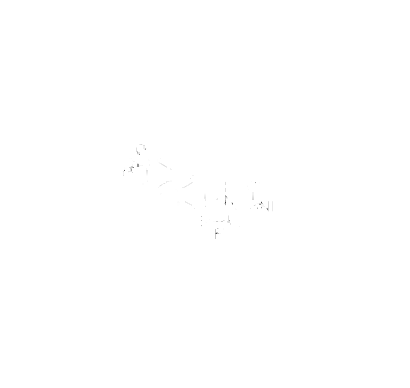 CCC[C@H](N[C@@H](c1ccc(-c2ccc(S(C)(=O)=O)cc2)cc1)C(F)(F)F)C(N)=O